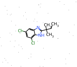 CCC(C)(C)c1nc2cc(Cl)cc(Cl)c2[nH]1